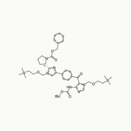 CC(C)(C)OC(=O)Nc1ncn(COCC[Si](C)(C)C)c1C(=O)c1ccc(-c2cn(COCC[Si](C)(C)C)c([C@@H]3CCCN3C(=O)OCc3ccccc3)n2)cc1